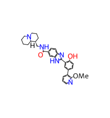 COc1ncccc1-c1ccc(O)c(-c2nc3ccc(C(=O)NC[C@@H]4CCCN5CCCC[C@H]45)cc3[nH]2)c1